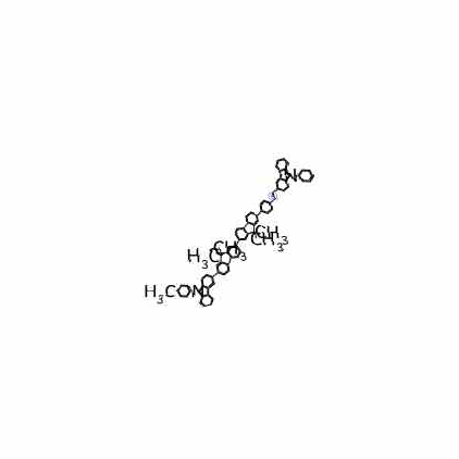 Cc1ccc(-n2c3ccccc3c3cc(-c4ccc5c(c4)C(C)(C)c4cc(-c6ccc7c(c6)C(C)(C)c6cc(-c8ccc(/C=C/c9ccc%10c(c9)c9ccccc9n%10-c9ccccc9)cc8)ccc6-7)ccc4-5)ccc32)cc1